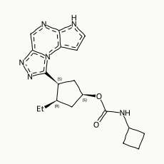 CC[C@@H]1C[C@H](OC(=O)NC2CCC2)C[C@@H]1c1nnc2cnc3[nH]ccc3n12